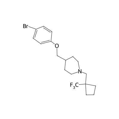 FC(F)(F)C1(CN2CCC(COc3ccc(Br)cc3)CC2)CCC1